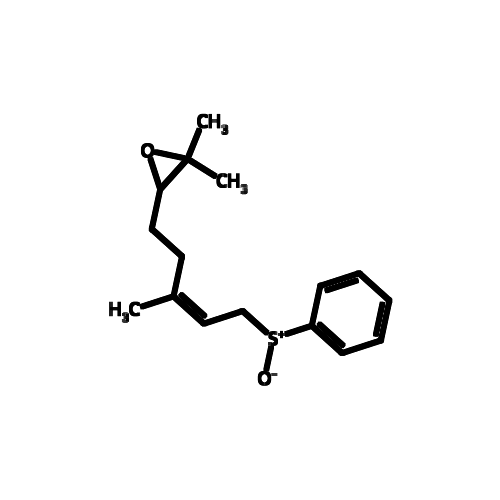 CC(=CC[S+]([O-])c1ccccc1)CCC1OC1(C)C